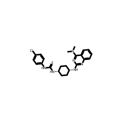 CN(C)c1nc(N[C@H]2CC[C@@H](NC(=S)Nc3ccc(Cl)cc3)CC2)nc2ccccc12